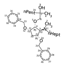 CCCCCCCN(C)[C@@H]1[C@@H](OCC(C)(O)CCCCC)[C@@H](OCc2ccccc2)C[C@H]1OCc1ccccc1